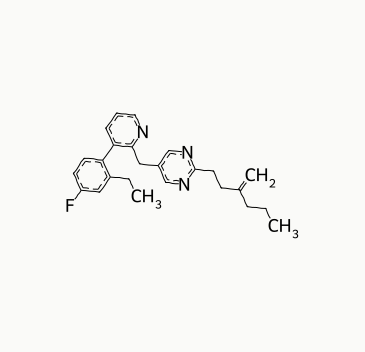 C=C(CCC)CCc1ncc(Cc2ncccc2-c2ccc(F)cc2CC)cn1